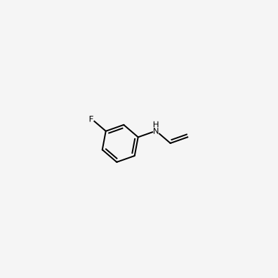 C=CNc1cccc(F)c1